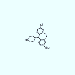 CC(C)(C)c1cnc2c(c1)CCc1cc(Cl)ccc1C2=C1CCNCC1